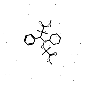 COC(=O)C(C)(C)ON(C1CCCCC1)C(c1ccccc1)C(C)(C)C(=O)OC